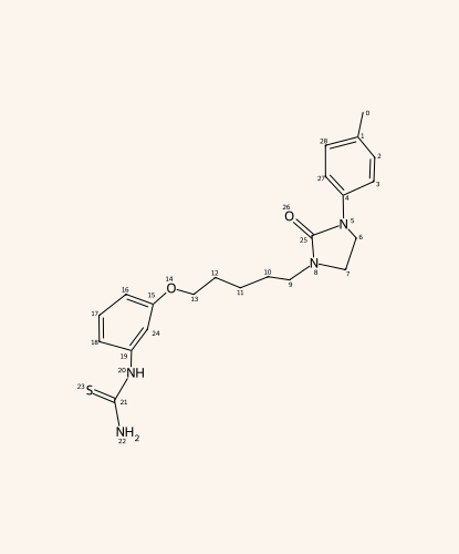 Cc1ccc(N2CCN(CCCCCOc3cccc(NC(N)=S)c3)C2=O)cc1